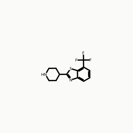 FC(F)(F)c1cccc2nc(C3CCNCC3)sc12